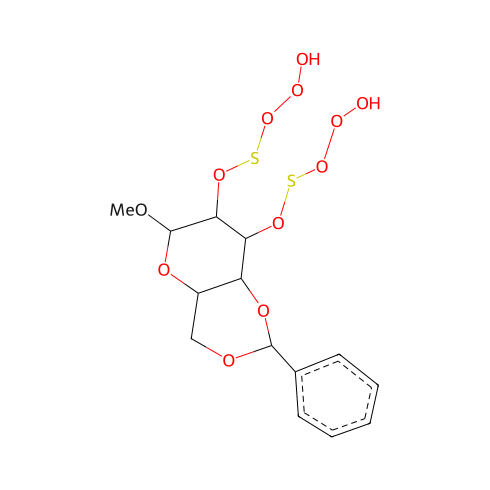 COC1OC2COC(c3ccccc3)OC2C(OSOOO)C1OSOOO